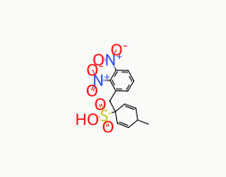 CC1C=CC(Cc2cccc([N+](=O)[O-])c2[N+](=O)[O-])(S(=O)(=O)O)C=C1